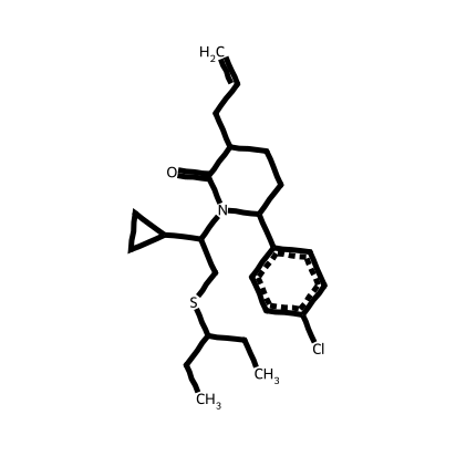 C=CCC1CCC(c2ccc(Cl)cc2)N(C(CSC(CC)CC)C2CC2)C1=O